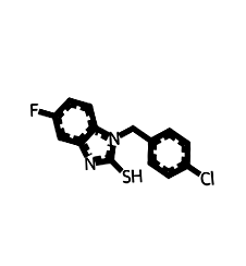 Fc1ccc2c(c1)nc(S)n2Cc1ccc(Cl)cc1